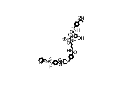 Cc1ncsc1-c1ccc([C@H](C)NC(=O)[C@@H]2C[C@@H](O)CN2C(=O)C(NC(=O)CCCNC(=O)c2ccc(CN3CCN(S(=O)(=O)c4ccc(NC(=S)NCc5cccnc5)cc4)CC3)cc2)C(C)(C)C)cc1